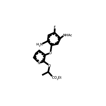 CCOC(=O)C(C)Oc1ncccc1Oc1cc(NC(C)=O)c(F)cc1N